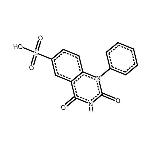 O=c1[nH]c(=O)n(-c2ccccc2)c2ccc(S(=O)(=O)O)cc12